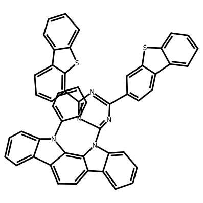 c1ccc(-n2c3ccccc3c3ccc4c5ccccc5n(-c5nc(-c6ccc7c(c6)sc6ccccc67)nc(-c6cccc7c6sc6ccccc67)n5)c4c32)cc1